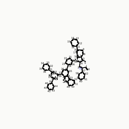 C=C/C(=C\c1c(C)c2ccc(-c3ccccc3)cc2n1-c1cccc(-c2cc(-c3nc(-c4ccccc4)nc(-c4ccccc4)n3)c3sc4ccccc4c3c2)c1)c1ccccc1